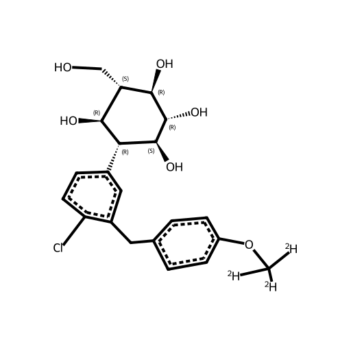 [2H]C([2H])([2H])Oc1ccc(Cc2cc([C@H]3[C@H](O)[C@@H](O)[C@H](O)[C@@H](CO)[C@@H]3O)ccc2Cl)cc1